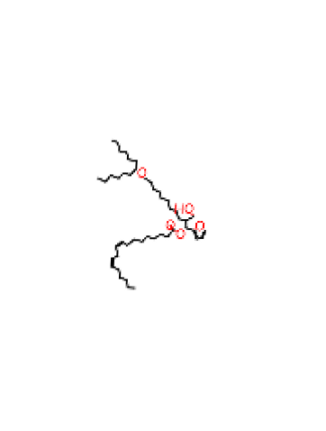 CCCCC/C=C\C/C=C\CCCCCCCC(=O)O[C@H](c1ccco1)C(CO)CCCCCCCCCOC(CCCCCC)CCCCCC